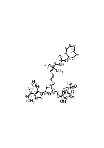 C=Nc1c(/C(N)=N\C)ncn1[C@H]1CC(OCSSC(C)(C)CNC(=O)OC2CC/C=C/CCC2)[C@@H](COP(=O)(O)OP(=O)(O)OP(=O)(O)O)O1